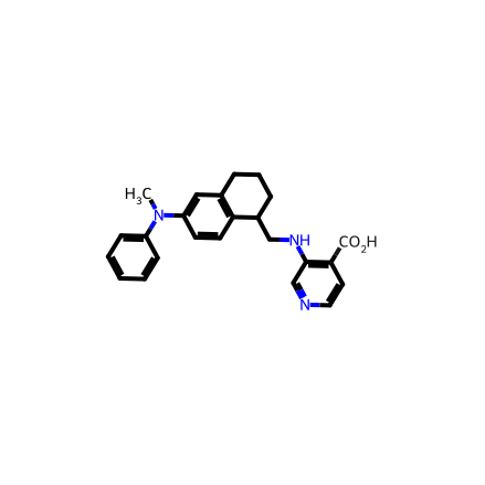 CN(c1ccccc1)c1ccc2c(c1)CCCC2CNc1cnccc1C(=O)O